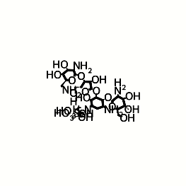 NC[C@@H]1O[C@H](O[C@H]2[C@@H](O)[C@H](O[C@@H]3[C@@H](O)[C@H](N)C[C@H](N)[C@H]3O[C@H]3O[C@H](CO)[C@@H](O)[C@H](O)[C@H]3N)O[C@@H]2CO)[C@H](N)[C@@H](O)[C@@H]1O.O=S(=O)(O)O.O=S(=O)(O)O